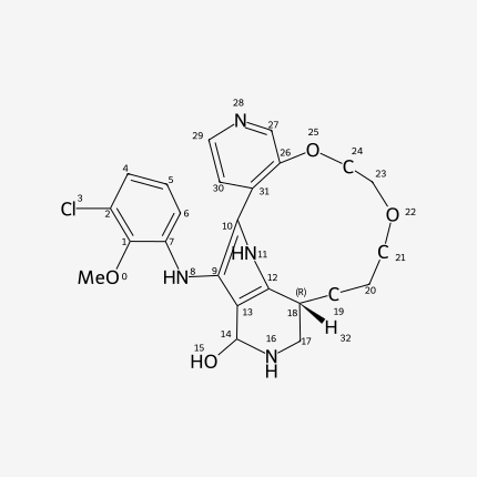 COc1c(Cl)cccc1Nc1c2[nH]c3c1C(O)NC[C@H]3CCCOCCOc1cnccc1-2